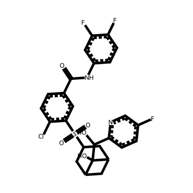 O=C(Nc1ccc(F)c(F)c1)c1ccc(Cl)c(S(=O)(=O)C2CC3CC(C2)C3(O)C(O)c2ccc(F)cn2)c1